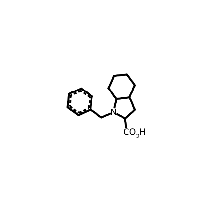 O=C(O)C1CC2CCCCC2N1Cc1ccccc1